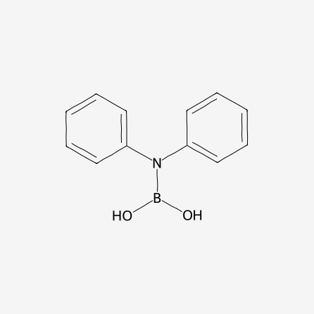 OB(O)N(c1ccccc1)c1ccccc1